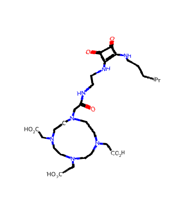 CC(C)CCCNc1c(NCCNC(=O)CN2CCN(CC(=O)O)CCN(CC(=O)O)CCN(CC(=O)O)CC2)c(=O)c1=O